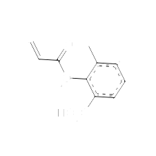 C=CC(=O)Oc1c(C)cccc1C(=O)O